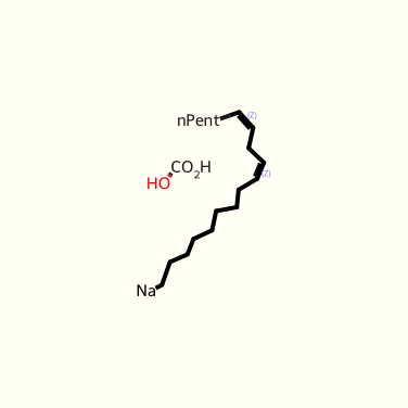 CCCCC/C=C\C/C=C\CCCCCCC[CH2][Na].O=C(O)O